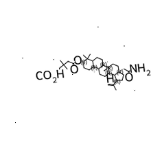 C=C(C)[C@@H]1CC[C@]2(CC(N)=O)CC[C@]3(C)[C@H](CCC4[C@@]5(C)CC[C@H](OC(=O)CC(C)(C)CC(=O)O)C(C)(C)C5CC[C@]43C)C12